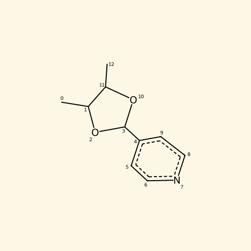 CC1OC(c2ccncc2)OC1C